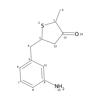 CC1SC(Cc2cccc(N)c2)CC1=O